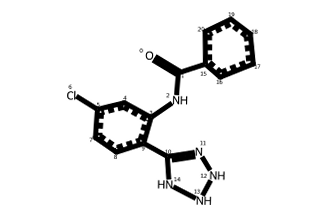 O=C(Nc1cc(Cl)ccc1C1=NNNN1)c1ccccc1